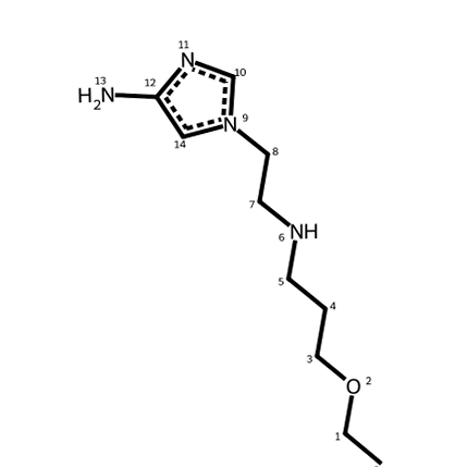 CCOCCCNCCn1cnc(N)c1